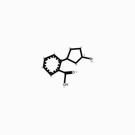 O=C(O)c1ccccc1C1CCC(Br)C1